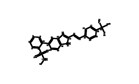 CNS(=O)(=O)c1ccccc1-c1ccc2[nH]c(/C=C/c3ccc(C(F)(F)F)cc3)nc2c1